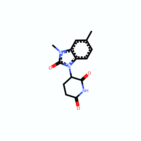 Cc1ccc2c(c1)n(C)c(=O)n2C1CCC(=O)NC1=O